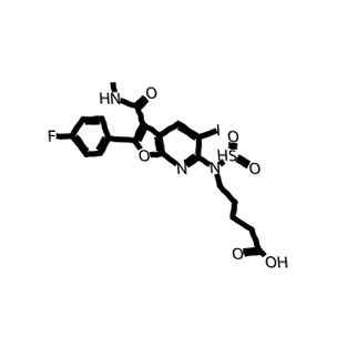 CNC(=O)c1c(-c2ccc(F)cc2)oc2nc(N(CCCCC(=O)O)[SH](=O)=O)c(I)cc12